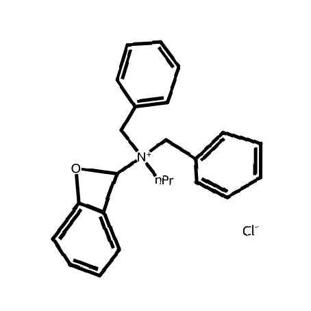 CCC[N+](Cc1ccccc1)(Cc1ccccc1)C1Oc2ccccc21.[Cl-]